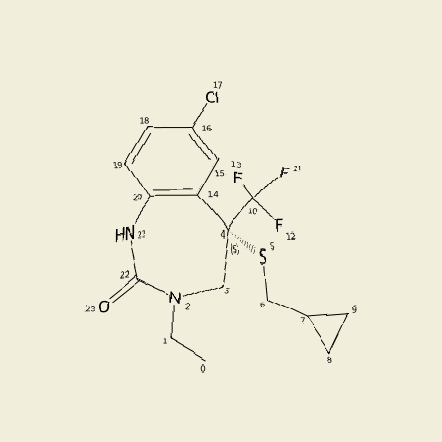 CCN1C[C@](SCC2CC2)(C(F)(F)F)c2cc(Cl)ccc2NC1=O